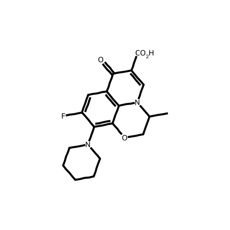 CC1COc2c(N3CCCCC3)c(F)cc3c(=O)c(C(=O)O)cn1c23